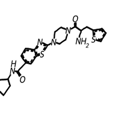 NC(Cc1cccs1)C(=O)N1CCN(c2nc3ccc(C(=O)NC4CCCC4)cc3s2)CC1